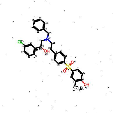 CCOC(=O)c1cc(S(=O)(=O)c2ccc(CCN(Cc3ccccc3)C[C@H](O)c3cccc(Cl)c3)cc2)ccc1O